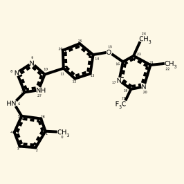 Cc1cccc(Nc2nnc(-c3ccc(Oc4nc(C(F)(F)F)nc(C)c4C)cc3)[nH]2)c1